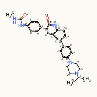 CNC(=O)Nc1ccc(-c2cc3cc(-c4ccc(N5CCN(C(C)C)CC5)cc4)ccc3[nH]c2=O)cc1